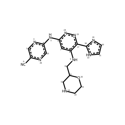 N#Cc1cnc(Nc2cc(NCC3CNCCO3)c(-c3ncc[nH]3)nn2)cn1